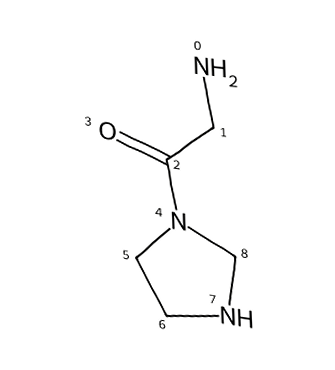 NCC(=O)N1CCNC1